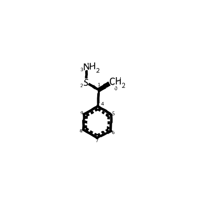 C=C(SN)c1ccccc1